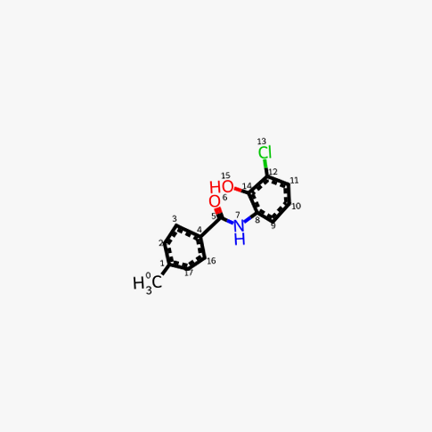 Cc1ccc(C(=O)Nc2cccc(Cl)c2O)cc1